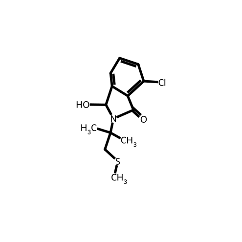 CSCC(C)(C)N1C(=O)c2c(Cl)cccc2C1O